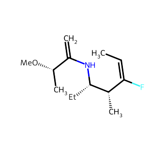 C=C(N[C@@H](CC)[C@@H](C)/C(F)=C\C)[C@H](C)OC